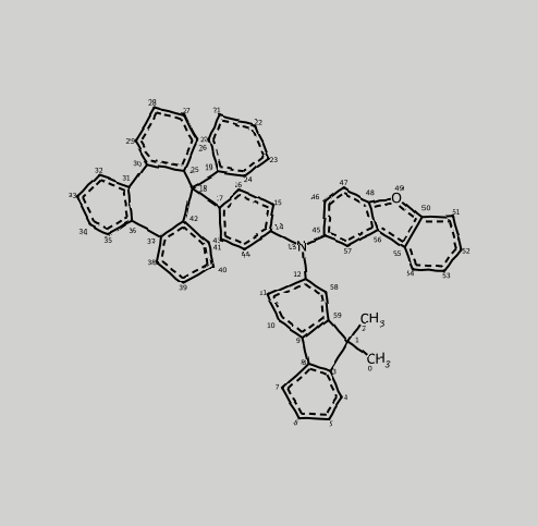 CC1(C)c2ccccc2-c2ccc(N(c3ccc(C4(c5ccccc5)c5ccccc5-c5ccccc5-c5ccccc54)cc3)c3ccc4oc5ccccc5c4c3)cc21